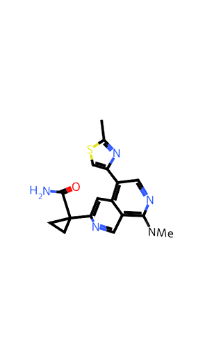 CNc1ncc(-c2csc(C)n2)c2cc(C3(C(N)=O)CC3)ncc12